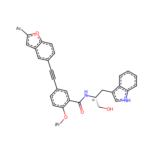 CC(=O)c1cc2cc(C#Cc3ccc(OC(C)C)c(C(=O)N[C@@H](CO)Cc4c[nH]c5ccccc45)c3)ccc2o1